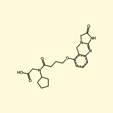 O=C(O)CN(C(=O)CCCOc1cccc2c1CN1CC(=O)NC1=N2)C1CCCC1